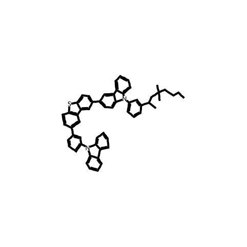 CCCCC(C)(C)CC(C)c1cccc(-n2c3ccccc3c3cc(-c4ccc5sc6ccc(-c7cccc(-n8c9ccccc9c9ccccc98)c7)cc6c5c4)ccc32)c1